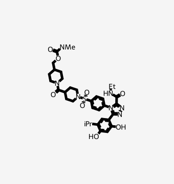 CCNC(=O)c1nnc(-c2cc(C(C)C)c(O)cc2O)n1-c1ccc(S(=O)(=O)N2CCC(C(=O)N3CCC(COC(=O)NC)CC3)CC2)cc1